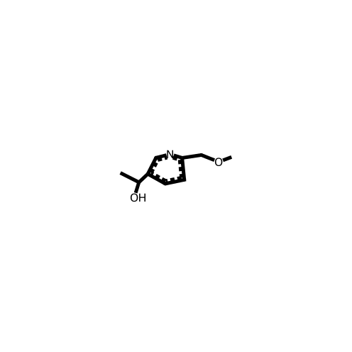 COCc1ccc(C(C)O)cn1